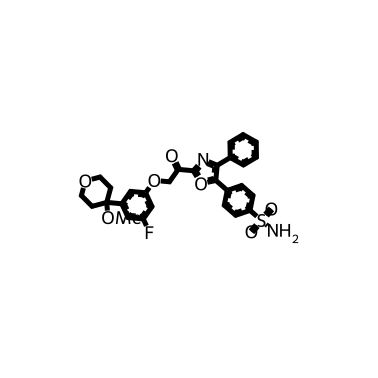 COC1(c2cc(F)cc(OCC(=O)c3nc(-c4ccccc4)c(-c4ccc(S(N)(=O)=O)cc4)o3)c2)CCOCC1